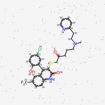 CN(CCCC(=O)CSc1c(-c2cc(Cl)ccc2O)c2cc(C(F)(F)F)ccc2[nH]c1=O)CCc1ccccn1